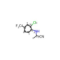 CC(C#N)Nc1ccc(C(F)(F)F)cc1Cl